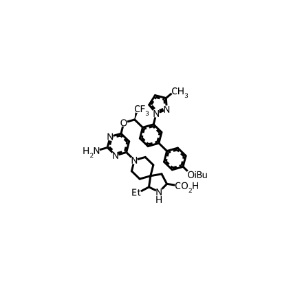 CCC1NC(C(=O)O)CC12CCN(c1cc(O[C@H](c3ccc(-c4ccc(OCC(C)C)cc4)cc3-n3ccc(C)n3)C(F)(F)F)nc(N)n1)CC2